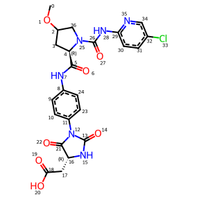 COC1C[C@H](C(=O)Nc2ccc(N3C(=O)N[C@H](CC(=O)O)C3=O)cc2)N(C(=O)Nc2ccc(Cl)cn2)C1